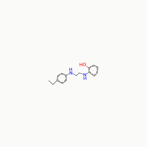 CCc1ccc(NCCNc2ccccc2O)cc1